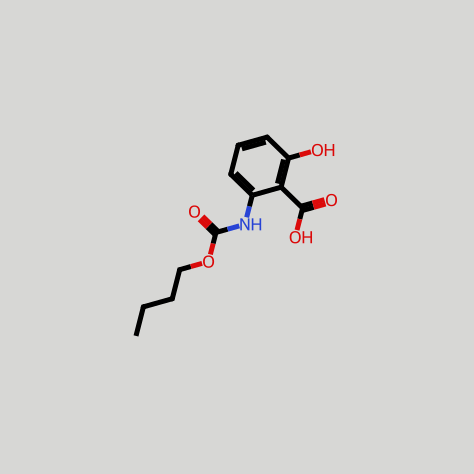 CCCCOC(=O)Nc1cccc(O)c1C(=O)O